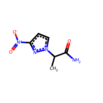 CC(C(N)=O)n1ccc([N+](=O)[O-])n1